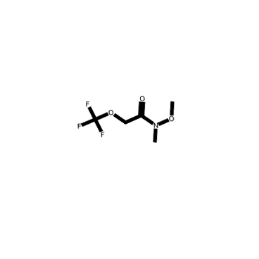 CON(C)C(=O)COC(F)(F)F